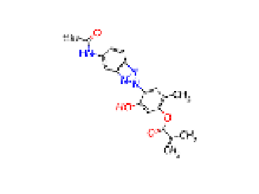 C=C(C)C(=O)Oc1cc(O)c(-n2n3c4ccc(NC(=O)C(C)(C)C)cc4n23)cc1C